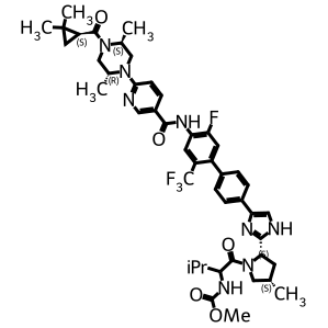 COC(=O)NC(C(=O)N1C[C@@H](C)C[C@H]1c1nc(-c2ccc(-c3cc(F)c(NC(=O)c4ccc(N5C[C@H](C)N(C(=O)[C@H]6CC6(C)C)C[C@H]5C)nc4)cc3C(F)(F)F)cc2)c[nH]1)C(C)C